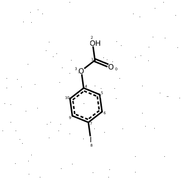 O=C(O)Oc1ccc(I)cc1